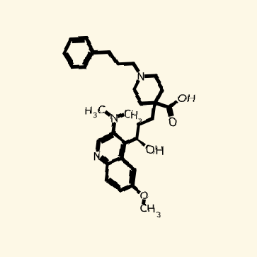 COc1ccc2ncc(N(C)C)c([C@H](O)CCC3(C(=O)O)CCN(CCCc4ccccc4)CC3)c2c1